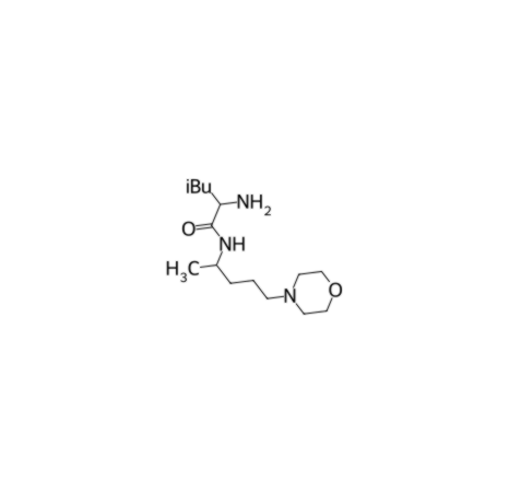 CCC(C)C(N)C(=O)NC(C)CCCN1CCOCC1